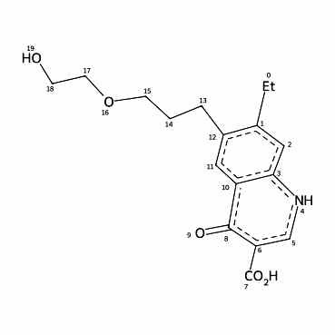 CCc1cc2[nH]cc(C(=O)O)c(=O)c2cc1CCCOCCO